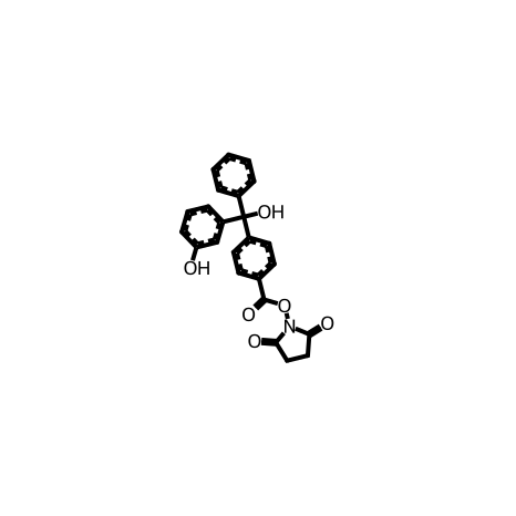 O=C(ON1C(=O)CCC1=O)c1ccc(C(O)(c2ccccc2)c2cccc(O)c2)cc1